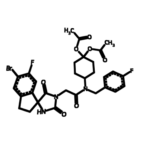 CC(=O)OC1(OC(C)=O)CCC(N(Cc2ccc(F)cc2)C(=O)CN2C(=O)NC3(CCc4cc(Br)c(F)cc43)C2=O)CC1